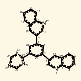 c1ccc2ncc(-c3cc(-c4cnc5ccccc5c4)cc(-c4ncncn4)c3)cc2c1